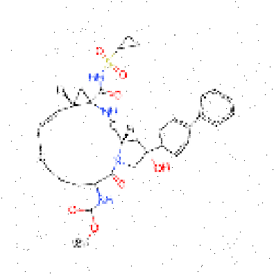 CC(C)(C)OC(=O)N[C@H]1CCCCC/C=C\[C@@H]2C[C@@]2(C(=O)NS(=O)(=O)C2CC2)NC[C@@H]2C[C@@](O)(C3C=CC(c4ccccc4)=CC3)CN2C1=O